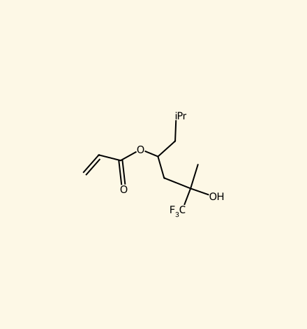 C=CC(=O)OC(CC(C)C)CC(C)(O)C(F)(F)F